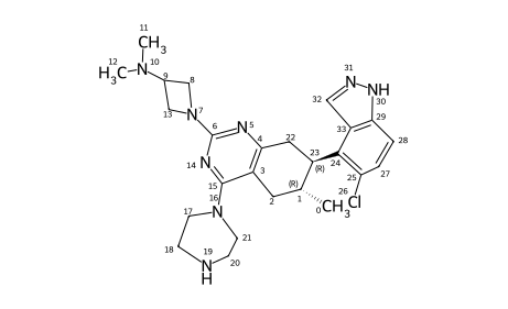 C[C@@H]1Cc2c(nc(N3CC(N(C)C)C3)nc2N2CCNCC2)C[C@H]1c1c(Cl)ccc2[nH]ncc12